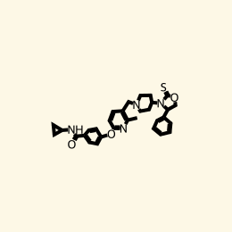 Cc1nc(Oc2ccc(C(=O)NC3CC3)cc2)ccc1CN1CCC(N2C(=S)OCC2c2ccccc2)CC1